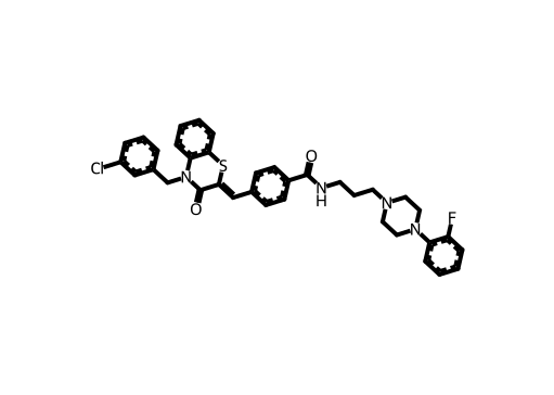 O=C(NCCCN1CCN(c2ccccc2F)CC1)c1ccc(C=C2Sc3ccccc3N(Cc3cccc(Cl)c3)C2=O)cc1